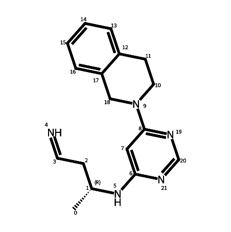 C[C@H](CC=N)Nc1cc(N2CCc3ccccc3C2)ncn1